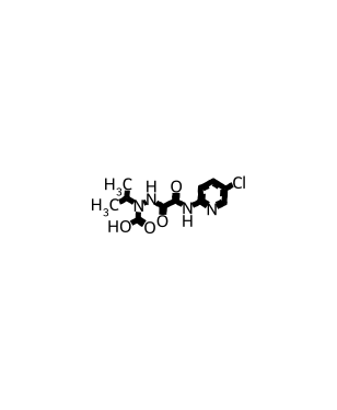 CC(C)N(NC(=O)C(=O)Nc1ccc(Cl)cn1)C(=O)O